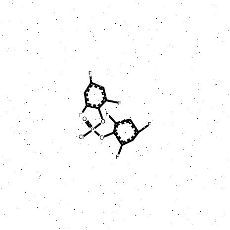 O=P(Cl)(Oc1c(F)cc(F)cc1F)Oc1c(F)cc(F)cc1F